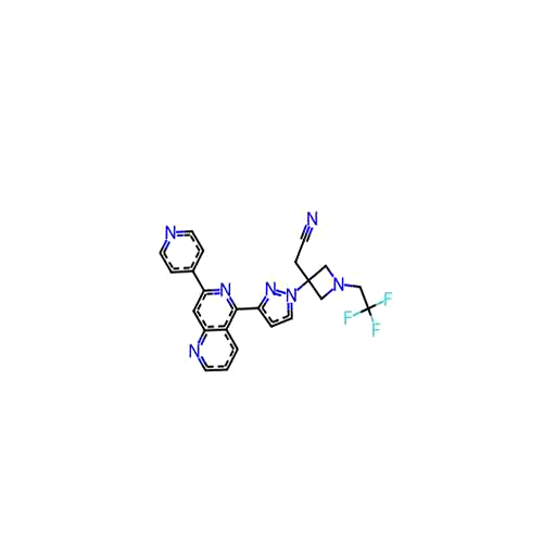 N#CCC1(n2ccc(-c3nc(-c4ccncc4)cc4ncccc34)n2)CN(CC(F)(F)F)C1